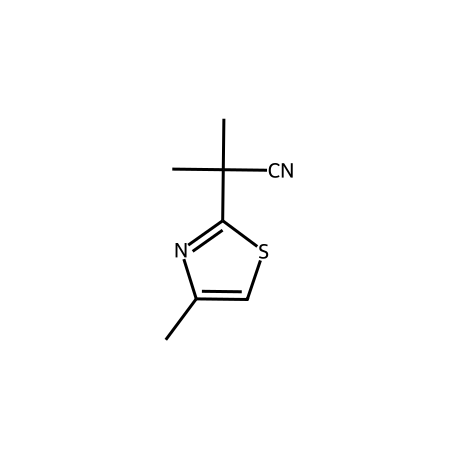 Cc1csc(C(C)(C)C#N)n1